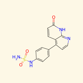 NS(=O)(=O)Nc1ccc(-c2ccnc3[nH]c(=O)ccc23)cc1